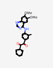 COc1cc2ncnc(Nc3ccc(C(=O)C(=O)c4ccccc4)cc3C)c2cc1OC